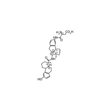 C[C@]1(C(=O)NC(=O)[C@@]2(C)CCC[C@]3(C)c4cc(NC(=O)[C@@H](N)CC(=O)O)ccc4CC[C@@H]23)CCCC2c3cc(O)ccc3CC[C@H]21